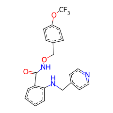 O=C(NOCc1ccc(OC(F)(F)F)cc1)c1ccccc1NCc1ccncc1